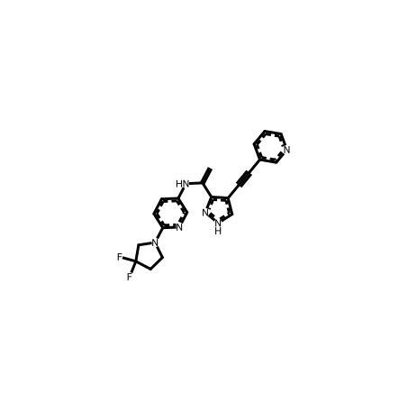 C=C(Nc1ccc(N2CCC(F)(F)C2)nc1)c1n[nH]cc1C#Cc1cccnc1